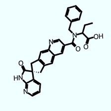 CCC(C(=O)O)N(Cc1ccccc1)C(=O)c1cnc2cc3c(cc2c1)C[C@@]1(C3)C(=O)Nc2ncccc21